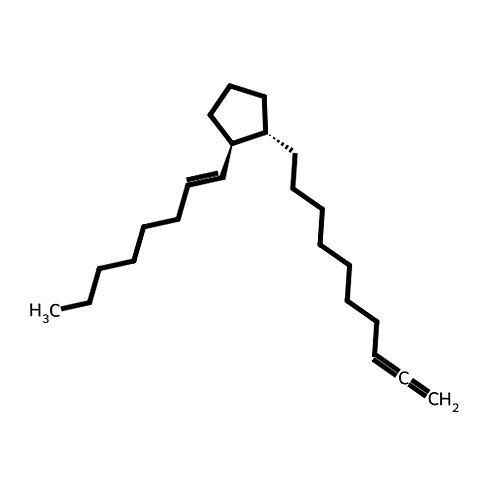 C=C=CCCCCCCC[C@H]1CCC[C@@H]1/C=C/CCCCCC